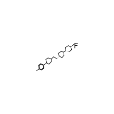 Cc1ccc(C2CCC(CC[C@H]3CC[C@H]([C@H]4CC[C@H](CF)CC4)CC3)CC2)cc1